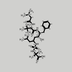 CC(C)CC(C[C@@H](O)[C@H](Cc1ccccc1)NC(=O)[C@@H](NC(=O)CN(C)C)C(C)(C)C)NS(=O)(=O)NC(C)(C)C(=O)O